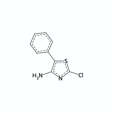 Nc1nc(Cl)sc1-c1ccccc1